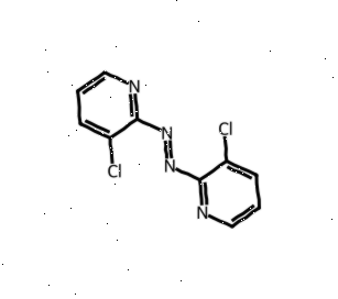 Clc1cccnc1N=Nc1ncccc1Cl